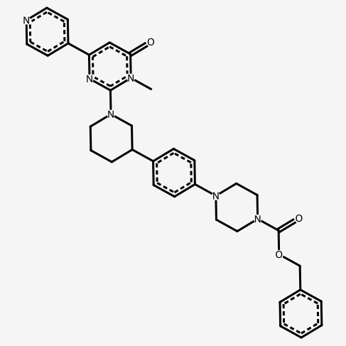 Cn1c(N2CCCC(c3ccc(N4CCN(C(=O)OCc5ccccc5)CC4)cc3)C2)nc(-c2ccncc2)cc1=O